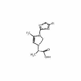 CCc1csc(N2CN(C(C)C(=O)OC)C=C2C(F)(F)F)n1